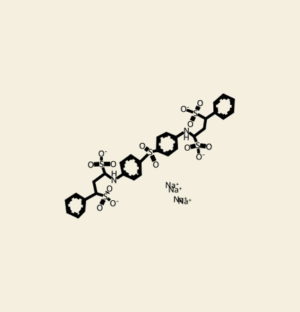 O=S(=O)(c1ccc(NC(CC(c2ccccc2)S(=O)(=O)[O-])S(=O)(=O)[O-])cc1)c1ccc(NC(CC(c2ccccc2)S(=O)(=O)[O-])S(=O)(=O)[O-])cc1.[Na+].[Na+].[Na+].[Na+]